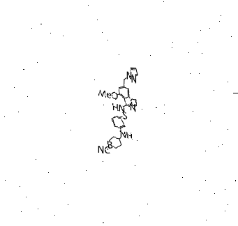 COc1cc(Cn2cccn2)cc2onc(NSc3cccc(NC4CCB(C#N)CC4)c3)c12